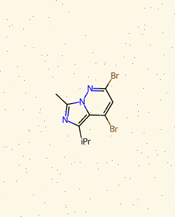 Cc1nc(C(C)C)c2c(Br)cc(Br)nn12